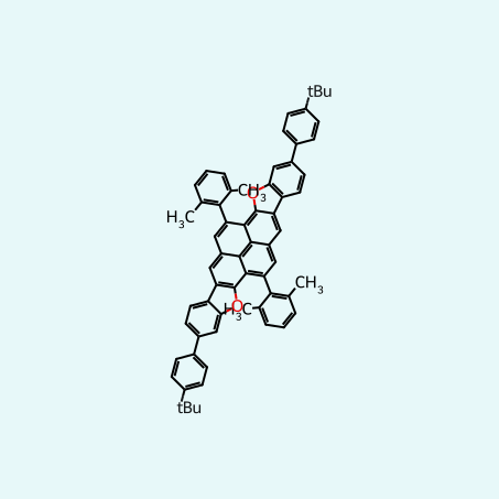 Cc1cccc(C)c1-c1cc2cc3c4ccc(-c5ccc(C(C)(C)C)cc5)cc4oc3c3c(-c4c(C)cccc4C)cc4cc5c6ccc(-c7ccc(C(C)(C)C)cc7)cc6oc5c1c4c23